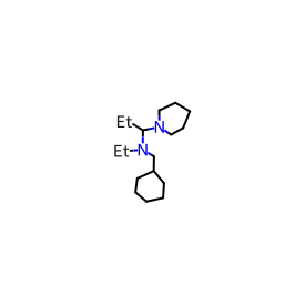 [CH2]CC(N1CCCCC1)N(CC)CC1CCCCC1